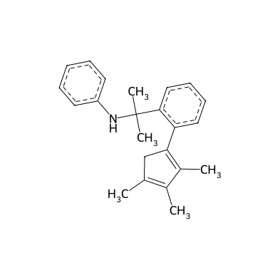 CC1=C(C)C(C)=C(c2ccccc2C(C)(C)Nc2ccccc2)C1